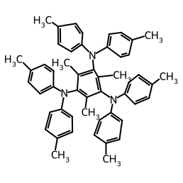 Cc1ccc(N(c2ccc(C)cc2)c2c(C)c(N(c3ccc(C)cc3)c3ccc(C)cc3)c(C)c(N(c3ccc(C)cc3)c3ccc(C)cc3)c2C)cc1